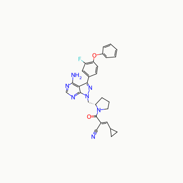 N#C/C(=C\C1CC1)C(=O)N1CCC[C@H]1Cn1nc(-c2ccc(Oc3ccccc3)c(F)c2)c2c(N)ncnc21